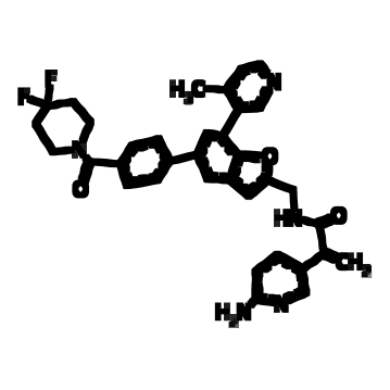 C=C(C(=O)NCc1cc2cc(-c3ccc(C(=O)N4CCC(F)(F)CC4)cc3)cc(-c3cnccc3C)c2o1)c1ccc(N)nc1